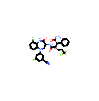 N#Cc1cc(F)cc(N2C[C@H](NC(=O)[C@H](CCC(F)(F)F)[C@@H](C(N)=O)c3ccccc3)C(=O)Nc3c(Cl)cccc32)c1